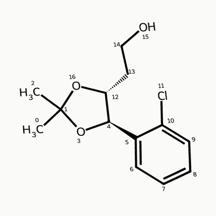 CC1(C)O[C@H](c2ccccc2Cl)[C@@H](CCO)O1